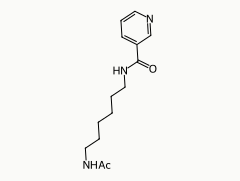 CC(=O)NCCCCCCNC(=O)c1cccnc1